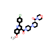 O=C(c1cc(-c2ccc(Cl)cc2)nc2ccc(OC(F)(F)F)cc12)N1CCC(N2CCC[C@@H](C(=O)N3CCOCC3)C2)CC1